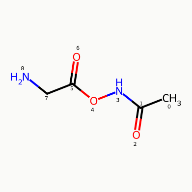 CC(=O)NOC(=O)CN